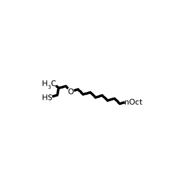 CCCCCCCCCCCCCCCCOCC(C)CS